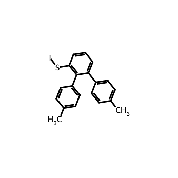 Cc1ccc(-c2cccc(SI)c2-c2ccc(C)cc2)cc1